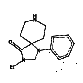 CCN1CN(c2ccccc2)C2(CCNCC2)C1=O